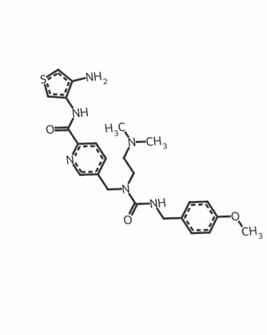 COc1ccc(CNC(=O)N(CCN(C)C)Cc2ccc(C(=O)Nc3cscc3N)nc2)cc1